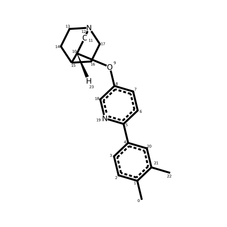 Cc1ccc(-c2ccc(O[C@H]3CN4CCC3CC4)cn2)cc1C